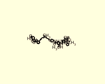 CC[C@@H]1C(=O)N(C)c2cnc(Nc3ccc(C(=O)NC4CCN(CCCCN(C)CCC#Cc5cccc6c5CN(C5CCC(=O)NC5=O)C6=O)CC4)cc3OC)nc2N1C1CCCC1